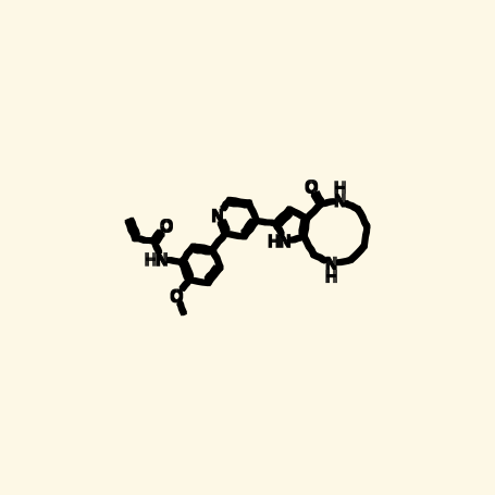 C=CC(=O)Nc1cc(-c2cc(-c3cc4c([nH]3)CNCCCCNC4=O)ccn2)ccc1OC